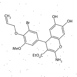 C=CCOc1c(Br)cc(C2C(C(=O)OCC)=C(N)Oc3cc(O)c(O)cc32)cc1OC